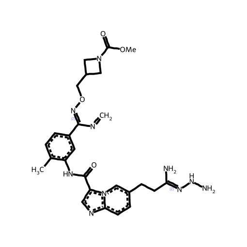 C=N/C(=N\OCC1CN(C(=O)OC)C1)c1ccc(C)c(NC(=O)c2cnc3ccc(CC/C(N)=N/NN)cn23)c1